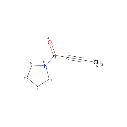 CC#CC(=O)N1[CH]CCC1